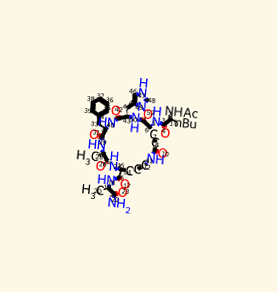 CCCC[C@H](NC(C)=O)C(=O)N[C@H]1CCC(=O)NCCC[C@@H](C(=O)N[C@@H](C)C(N)=O)NC(=O)[C@H](C)NC(=O)[C@@H](Cc2ccccc2)NC(=O)[C@H](Cc2c[nH]cn2)NC1=O